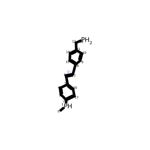 CPc1ccc(/C=C/c2ccc(CP)cc2)cc1